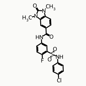 Cn1c(=O)n(C)c2cc(C(=O)Nc3ccc(F)c(S(=O)(=O)Nc4ccc(Cl)cc4)c3)ccc21